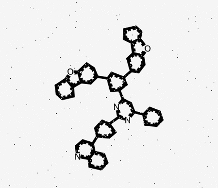 c1ccc(-c2cc(-c3cc(-c4ccc5oc6ccccc6c5c4)cc(-c4ccc5oc6ccccc6c5c4)c3)nc(-c3ccc(-c4ccnc5ccccc45)cc3)n2)cc1